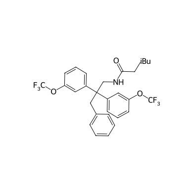 CCC(C)CC(=O)NCC(Cc1ccccc1)(c1cccc(OC(F)(F)F)c1)c1cccc(OC(F)(F)F)c1